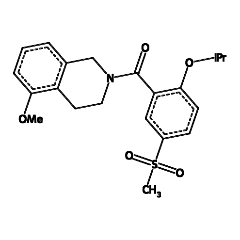 COc1cccc2c1CCN(C(=O)c1cc(S(C)(=O)=O)ccc1OC(C)C)C2